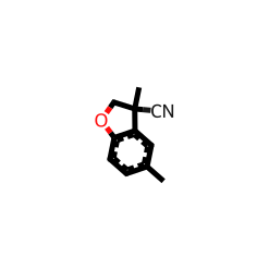 Cc1ccc2c(c1)C(C)(C#N)CO2